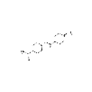 CN1CCC(NCN2CCC(C(N)=O)CC2)CC1